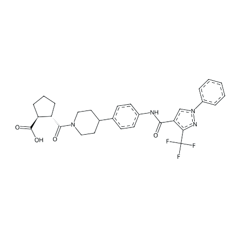 O=C(Nc1ccc(C2CCN(C(=O)[C@H]3CCC[C@@H]3C(=O)O)CC2)cc1)c1cn(-c2ccccc2)nc1C(F)(F)F